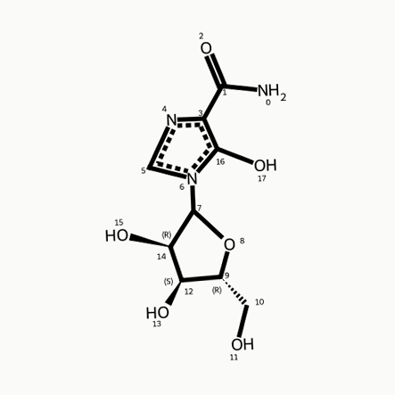 NC(=O)c1ncn(C2O[C@H](CO)[C@@H](O)[C@H]2O)c1O